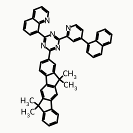 CC1(C)c2ccccc2-c2cc3c(cc21)-c1ccc(-c2nc(-c4cc(-c5cccc6ccccc56)ccn4)nc(-c4cccc5cccnc45)n2)cc1C3(C)C